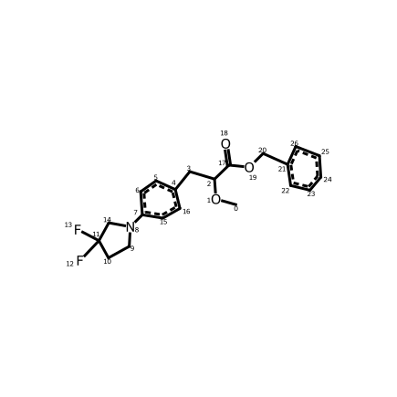 COC(Cc1ccc(N2CCC(F)(F)C2)cc1)C(=O)OCc1ccccc1